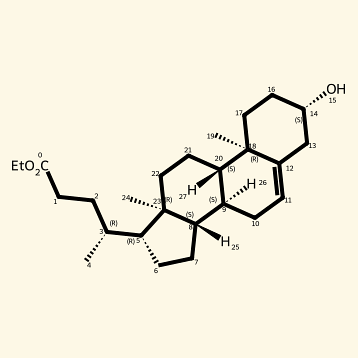 CCOC(=O)CC[C@@H](C)[C@H]1CC[C@H]2[C@@H]3CC=C4C[C@@H](O)CC[C@]4(C)[C@H]3CC[C@]12C